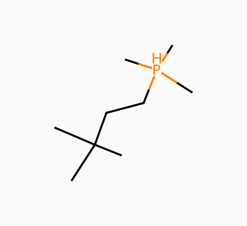 CC(C)(C)CC[PH](C)(C)C